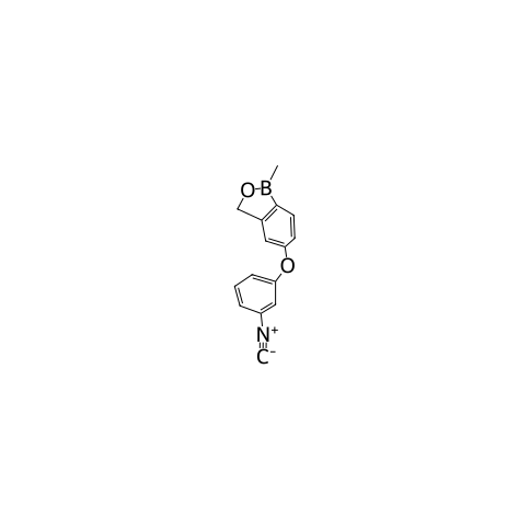 [C-]#[N+]c1cccc(Oc2ccc3c(c2)COB3C)c1